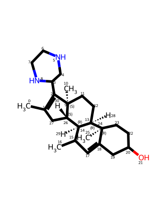 CC1=C(C2CNCCN2)[C@@]2(C)CC[C@@H]3[C@@H](C(C)C=C4CC(O)CC[C@@]43C)[C@@H]2C1